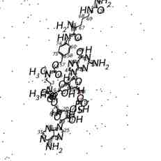 CN(CCN(C)C(=O)C12O[C@@H]3[C@H](O1)[C@@H](COP(=O)(S)O[C@H]1[C@@H](O)[C@H](n4cnc5c(N)ncnc54)O[C@@H]1COP2(=O)S)O[C@H]3n1cnc2c(=O)[nH]c(N)nc21)C(=O)OCc1ccc(NC(=O)[C@@H](N)CCCNC(N)=O)cc1